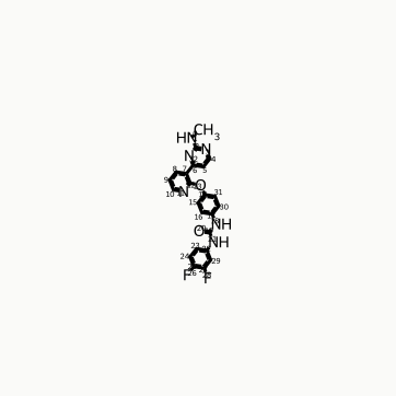 CNc1nccc(-c2cccnc2Oc2ccc(NC(=O)Nc3ccc(F)c(F)c3)cc2)n1